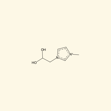 C[n+]1ccn(CC(O)O)c1